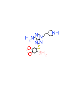 Bc1cc2c(cc1Sc1nc3c(N)ncn(CCC4CCNCC4)c-3n1)OCCO2